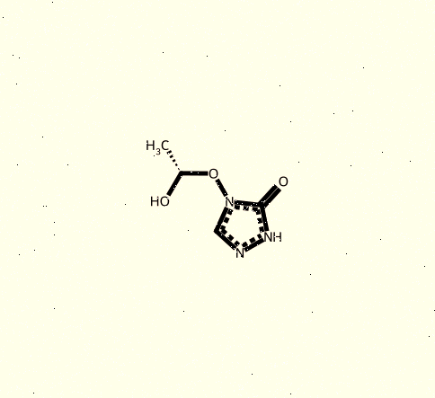 C[C@@H](O)On1cn[nH]c1=O